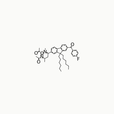 CCCCCCC1(CCCCCC)c2cc(C(=O)c3ccc(F)cc3)ccc2-c2ccc(/C(CC(C)N(OC(C)=O)C(C)=O)=N\C)cc21